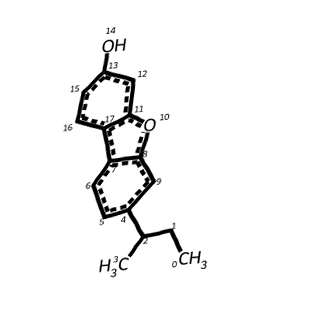 CCC(C)c1ccc2c(c1)oc1cc(O)ccc12